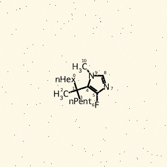 CCCCCCC(C)(CCCCC)c1c(F)ncn1C